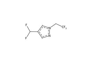 FC(F)c1[c]nn(CC(F)(F)F)[c]1